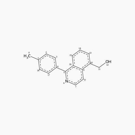 Cc1ccc(-c2nccc3c(CO)cccc23)cc1